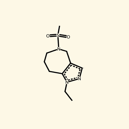 CCn1n[c]c2c1CCCN(S(C)(=O)=O)C2